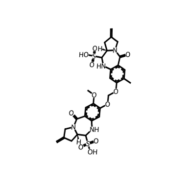 C=C1C[C@H]2C(S(=O)(=O)O)Nc3cc(OCOc4cc5c(cc4OC)C(=O)N4CC(=C)C[C@H]4C(S(=O)(=O)O)N5)c(C)cc3C(=O)N2C1